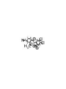 COc1cc(C#N)ccc1C(=O)Cc1cc(Cl)c(Cl)cc1[N+](=O)[O-]